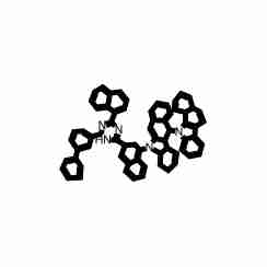 C1=CC2C=Cc3c(n(C4c5ccccc5C=C5C4C4C=CCCC4N5C4=c5ccccc5=CC(C5=NC(c6cccc7ccccc67)=NC(c6cccc(-c7ccccc7)c6)N5)C4)c4ccccc34)C2C=C1